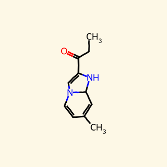 CCC(=O)C1=CN2C=CC(C)=CC2N1